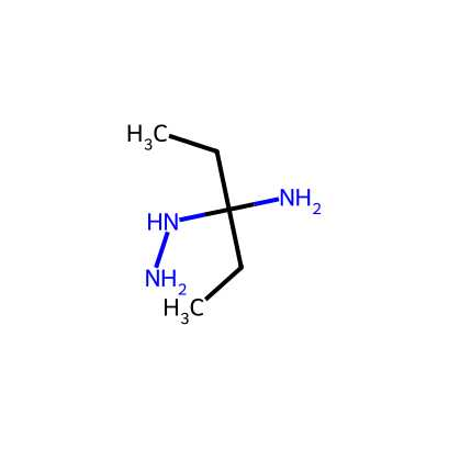 CCC(N)(CC)NN